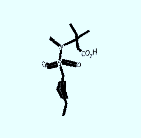 CC#CS(=O)(=O)N(C)C(C)(C)C(=O)O